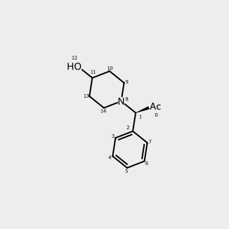 CC(=O)[C@@H](c1ccccc1)N1CCC(O)CC1